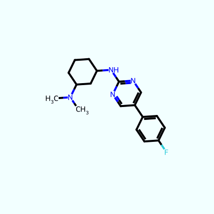 CN(C)C1CCCC(Nc2ncc(-c3ccc(F)cc3)cn2)C1